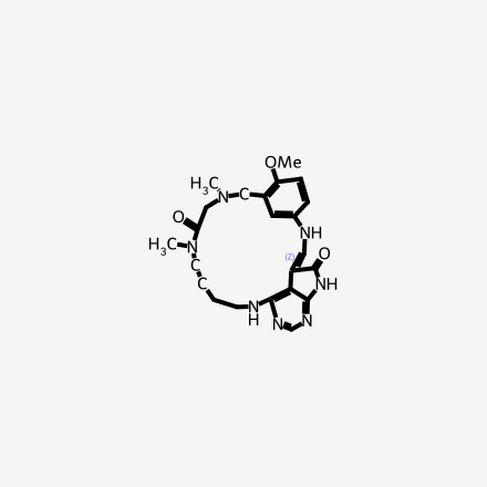 COc1ccc2cc1CN(C)CC(=O)N(C)CCCCNc1ncnc3c1/C(=C/N2)C(=O)N3